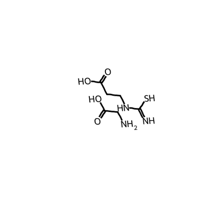 N=C(S)NCCC(=O)O.NCC(=O)O